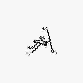 CCCCCCCCC(CCCCCC)COP(=O)(NCCN(C)CCO)OCC(CCCCCC)CCCCCCCC